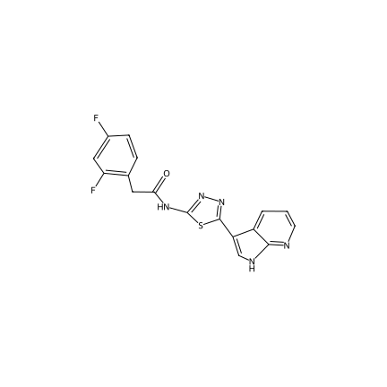 O=C(Cc1ccc(F)cc1F)Nc1nnc(-c2c[nH]c3ncccc23)s1